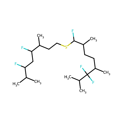 CC(C)C(F)CC(F)C(C)CCSC(F)C(C)CCC(C)C(F)(F)C(C)C